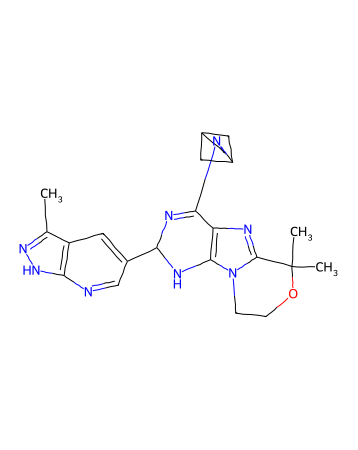 Cc1n[nH]c2ncc(C3N=C(N4CC5CC4C5)c4nc5n(c4N3)CCOC5(C)C)cc12